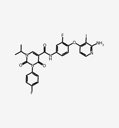 CC(C)n1cc(C(=O)Nc2ccc(Oc3ccnc(N)c3I)c(F)c2)c(=O)n(-c2ccc(F)cc2)c1=O